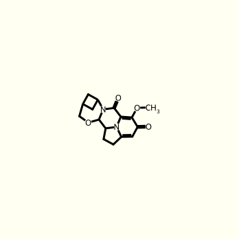 COc1c2n3c(cc1=O)CCC3C1OCC3CC(C3)N1C2=O